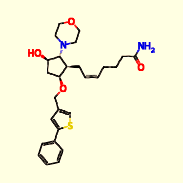 NC(=O)CCC/C=C\C[C@@H]1[C@@H](N2CCOCC2)[C@H](O)C[C@@H]1OCc1csc(-c2ccccc2)c1